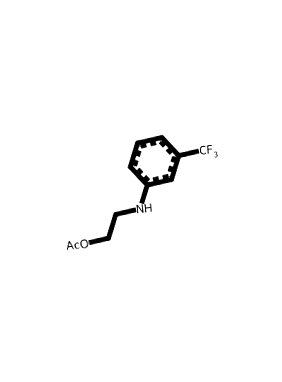 CC(=O)OCCNc1cccc(C(F)(F)F)c1